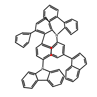 c1ccc(-c2ccccc2N(c2cccc(-c3cccc4ccccc34)c2)c2cccc(-c3ccccc3)c2-c2ccc(-n3c4ccccc4c4ccccc43)cc2)cc1